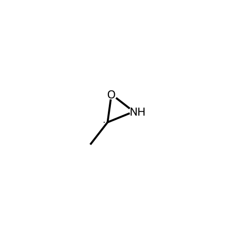 C[C]1NO1